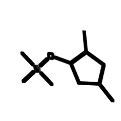 CC1CC(C)C(O[Si](C)(C)C)C1